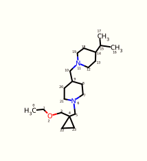 CCOCC1(CN2CCC(CN3CCC(C(C)C)CC3)CC2)CC1